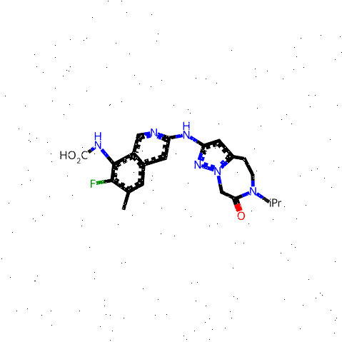 Cc1cc2cc(Nc3cc4n(n3)CC(=O)N(C(C)C)CC4)ncc2c(NC(=O)O)c1F